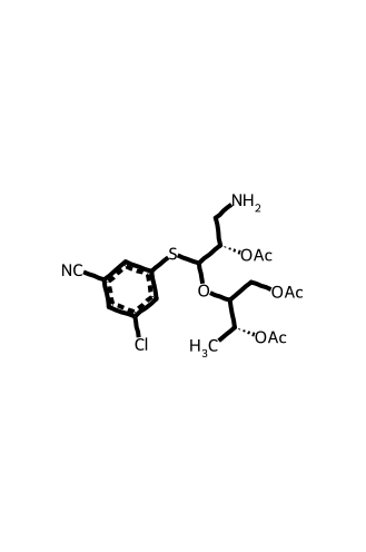 CC(=O)OCC(OC(Sc1cc(Cl)cc(C#N)c1)[C@H](CN)OC(C)=O)[C@@H](C)OC(C)=O